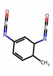 CC1C=CC(N=C=O)=CC1N=C=O